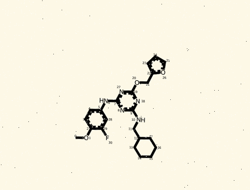 COc1ccc(Nc2nc(NCC3CCCCC3)nc(OCc3ccco3)n2)cc1F